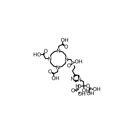 O=C(O)CN1CCN(CC(=O)O)CCN(CP(=O)(O)CCc2cn(CC(O)(OP(O)O)O[PH](=O)O)cn2)CCN(CC(=O)O)CC1